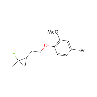 COc1cc(C(C)C)ccc1OCCC1CC1(C)F